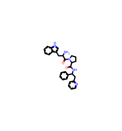 NC(Cc1c[nH]c2ccccc12)C(=O)N1CCCC1C(=O)NC(Cc1ccccn1)c1ccccc1